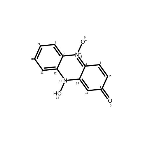 O=c1ccc2[n+]([O-])c3ccccc3n(O)c-2c1